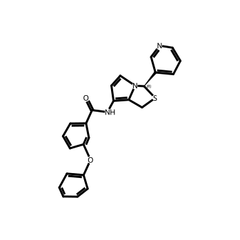 O=C(Nc1ccn2c1CS[C@@H]2c1cccnc1)c1cccc(Oc2ccccc2)c1